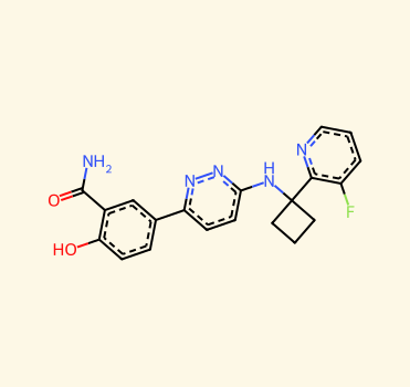 NC(=O)c1cc(-c2ccc(NC3(c4ncccc4F)CCC3)nn2)ccc1O